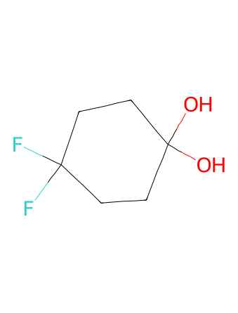 OC1(O)CCC(F)(F)CC1